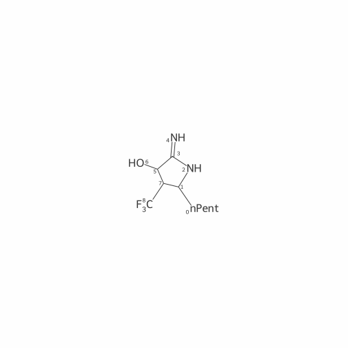 CCCCCC1NC(=N)C(O)C1C(F)(F)F